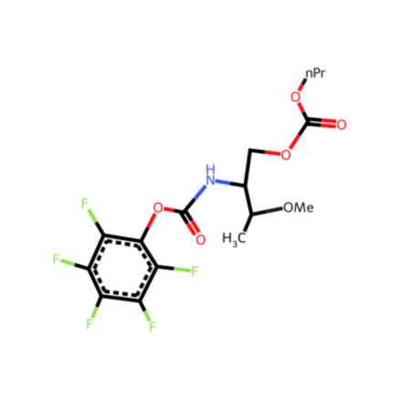 CCCOC(=O)OCC(NC(=O)Oc1c(F)c(F)c(F)c(F)c1F)C(C)OC